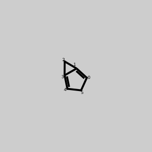 C1=C2CC2=CC1